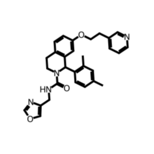 Cc1ccc(C2c3cc(OCCc4cccnc4)ccc3CCN2C(=O)NCc2cocn2)c(C)c1